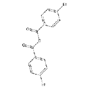 CCc1ccc(C(=O)OC(=O)c2ccc(CC)cc2)cc1